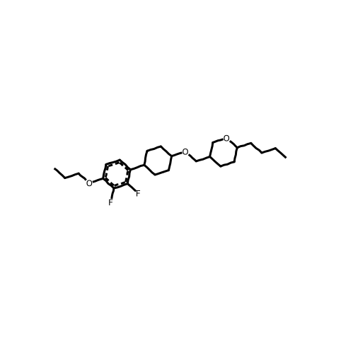 CCCCC1CCC(COC2CCC(c3ccc(OCCC)c(F)c3F)CC2)CO1